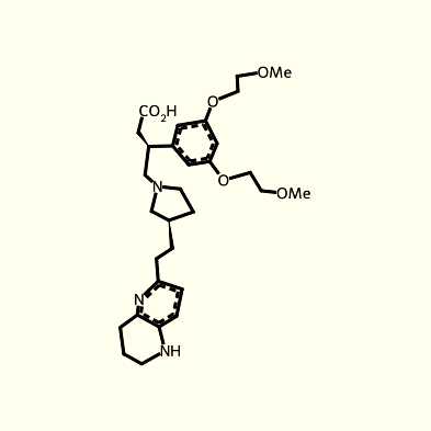 COCCOc1cc(OCCOC)cc([C@H](CC(=O)O)CN2CC[C@@H](CCc3ccc4c(n3)CCCN4)C2)c1